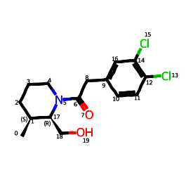 C[C@H]1CCCN(C(=O)Cc2ccc(Cl)c(Cl)c2)[C@H]1CO